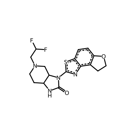 O=C1NC2CCN(CC(F)F)CC2N1c1nc2c3c(ccc2s1)OCC3